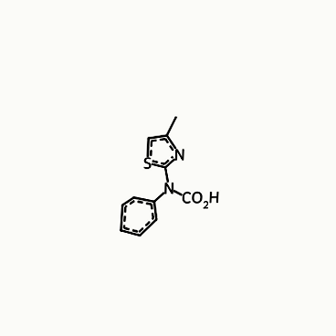 Cc1csc(N(C(=O)O)c2ccccc2)n1